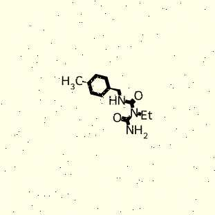 CCN(C(N)=O)C(=O)NC[C@H]1CC[C@H](C)CC1